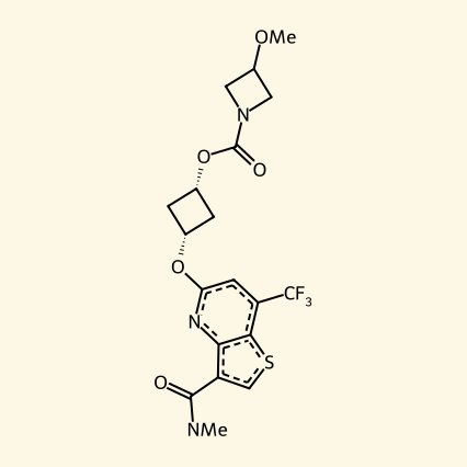 CNC(=O)c1csc2c(C(F)(F)F)cc(O[C@H]3C[C@@H](OC(=O)N4CC(OC)C4)C3)nc12